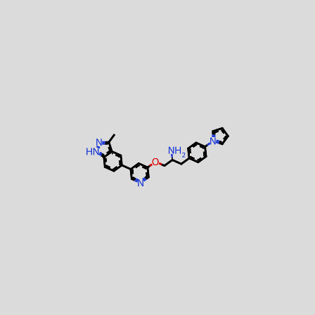 Cc1n[nH]c2ccc(-c3cncc(OC[C@@H](N)Cc4ccc(-n5cccc5)cc4)c3)cc12